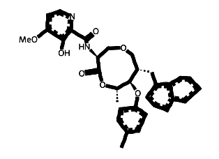 COc1ccnc(C(=O)N[C@H]2COC[C@H](Cc3cccc4ccccc34)[C@@H](Oc3ccc(C)cc3)[C@H](C)OC2=O)c1O